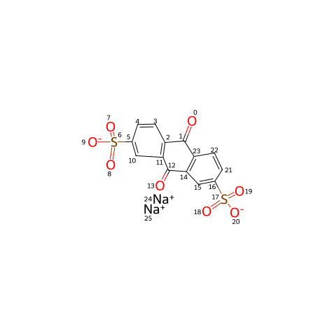 O=C1c2ccc(S(=O)(=O)[O-])cc2C(=O)c2cc(S(=O)(=O)[O-])ccc21.[Na+].[Na+]